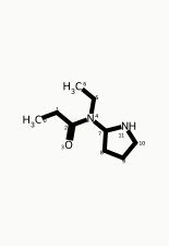 CCC(=O)N(CC)C1CCCN1